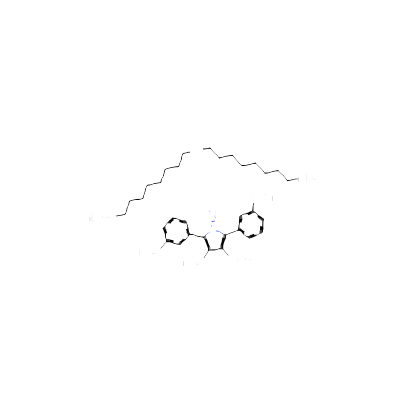 CCCCCC1=C(c2cccc(CCCC)c2)[N+](=[N-])C(c2cccc(CCCC)c2)=C1CCCC.CCCCCCCCCCCCCCCCC[CH2][Pd][CH2]CCCCCCCCCCCCCCCCC